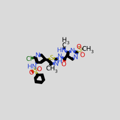 CNc1nc(S(C)(=O)=O)ncc1C(=O)Nc1nc(C)c(-c2cnc(Cl)c(NS(=O)(=O)c3ccccc3)c2)s1